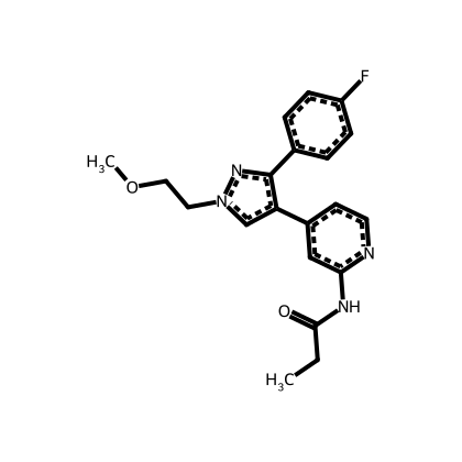 CCC(=O)Nc1cc(-c2cn(CCOC)nc2-c2ccc(F)cc2)ccn1